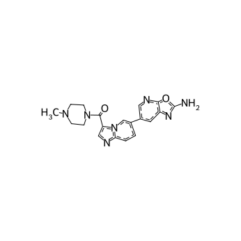 CN1CCN(C(=O)c2cnc3ccc(-c4cnc5oc(N)nc5c4)cn23)CC1